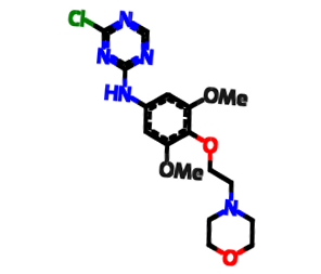 COc1cc(Nc2ncnc(Cl)n2)cc(OC)c1OCCN1CCOCC1